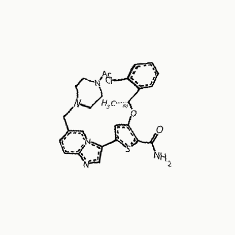 CC(=O)N1CCN(Cc2ccc3ncc(-c4cc(O[C@H](C)c5ccccc5Cl)c(C(N)=O)s4)n3c2)CC1